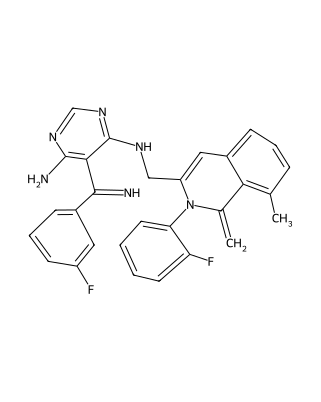 C=C1c2c(C)cccc2C=C(CNc2ncnc(N)c2C(=N)c2cccc(F)c2)N1c1ccccc1F